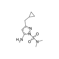 CN(C)S(=O)(=O)n1nc(CC2CC2)cc1N